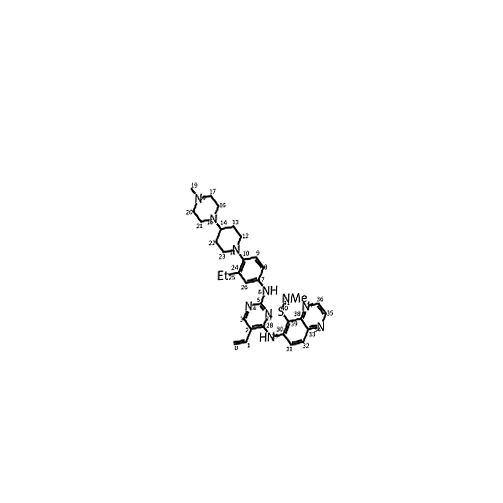 C=Cc1cnc(Nc2ccc(N3CCC(N4CCN(C)CC4)CC3)c(CC)c2)nc1Nc1ccc2nccnc2c1SNC